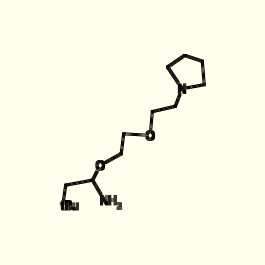 CC(C)(C)CC(N)OCCOCCN1CCCC1